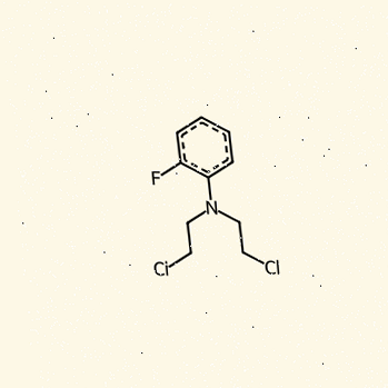 Fc1ccccc1N(CCCl)CCCl